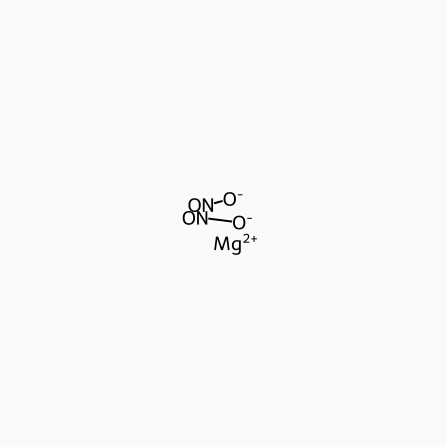 O=N[O-].O=N[O-].[Mg+2]